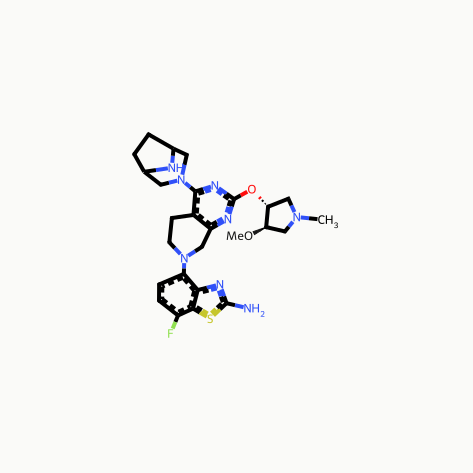 CO[C@@H]1CN(C)C[C@H]1Oc1nc2c(c(N3CC4CCC(C3)N4)n1)CCN(c1ccc(F)c3sc(N)nc13)C2